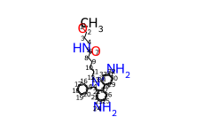 COCCCNC(=O)CCCCC[n+]1c(-c2ccccc2)c2cc(N)ccc2c2ccc(N)cc21